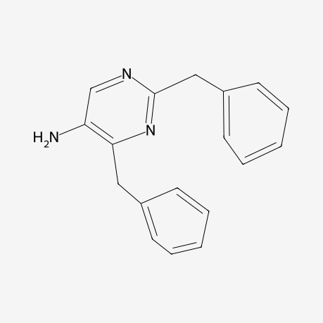 Nc1cnc(Cc2ccccc2)nc1Cc1ccccc1